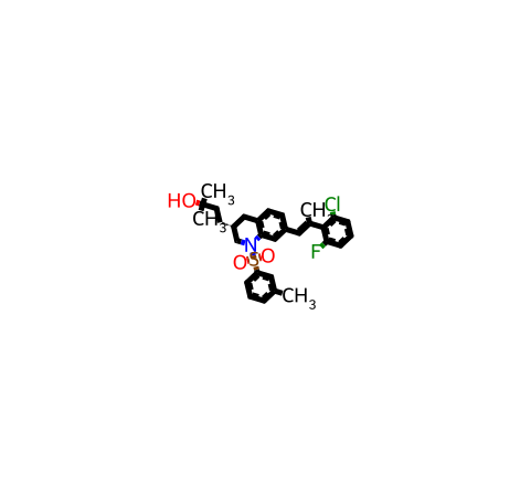 C/C(=C\c1ccc2c(c1)N(S(=O)(=O)c1cccc(C)c1)C[C@H](CCC(C)(C)O)C2)c1c(F)cccc1Cl